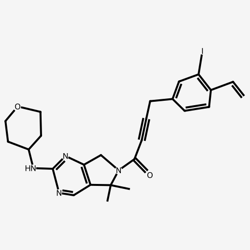 C=Cc1ccc(CC#CC(=O)N2Cc3nc(NC4CCOCC4)ncc3C2(C)C)cc1I